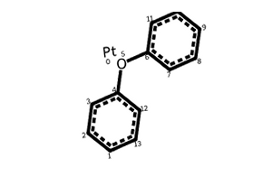 [Pt].[c]1ccc(Oc2ccccc2)cc1